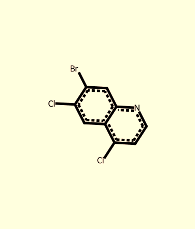 Clc1cc2c(Cl)ccnc2cc1Br